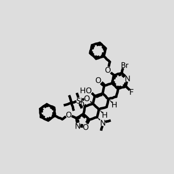 CN(C)[C@@H]1c2onc(OCc3ccccc3)c2C(=O)[C@@]2(O[Si](C)(C)C(C)(C)C)C(O)=C3C(=O)c4c(c(F)nc(Br)c4OCc4ccccc4)C[C@H]3C[C@@H]12